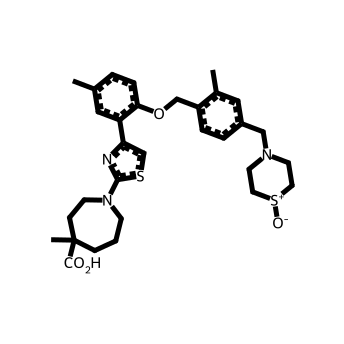 Cc1ccc(OCc2ccc(CN3CC[S+]([O-])CC3)cc2C)c(-c2csc(N3CCCC(C)(C(=O)O)CC3)n2)c1